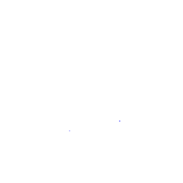 Cc1cccc([Si](c2ccccc2)(c2ccccc2)c2cccc(-c3cc(-n4c5ccccc5c5ccccc54)cc(-n4c5ccccc5c5ccccc54)c3)c2)c1